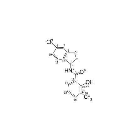 O=C(NC1CCc2cc(Cl)ccc21)c1cccc(C(F)(F)F)c1O